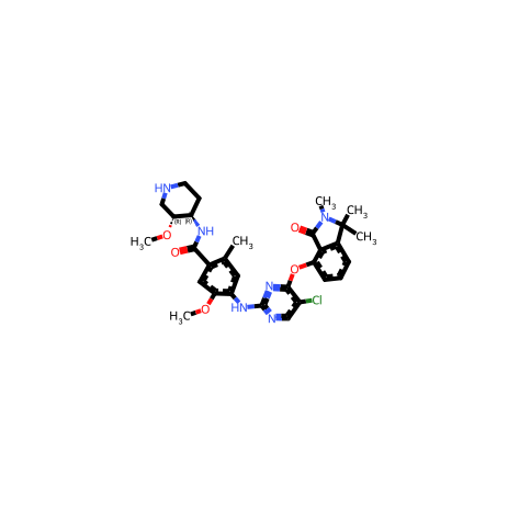 COc1cc(C(=O)N[C@@H]2CCNC[C@H]2OC)c(C)cc1Nc1ncc(Cl)c(Oc2cccc3c2C(=O)N(C)C3(C)C)n1